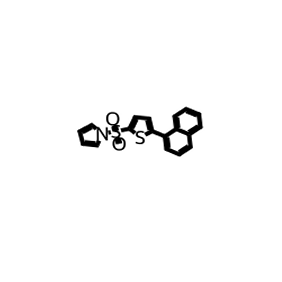 O=S(=O)(c1ccc(-c2cccc3ccccc23)s1)n1cccc1